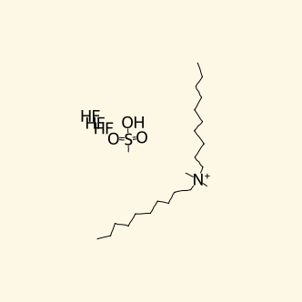 CCCCCCCCCC[N+](C)(C)CCCCCCCCCC.CS(=O)(=O)O.F.F.F